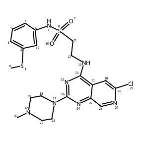 CSc1cccc(NS(=O)(=O)CCNc2nc(N3CCN(C)CC3)nc3cnc(Cl)cc23)c1